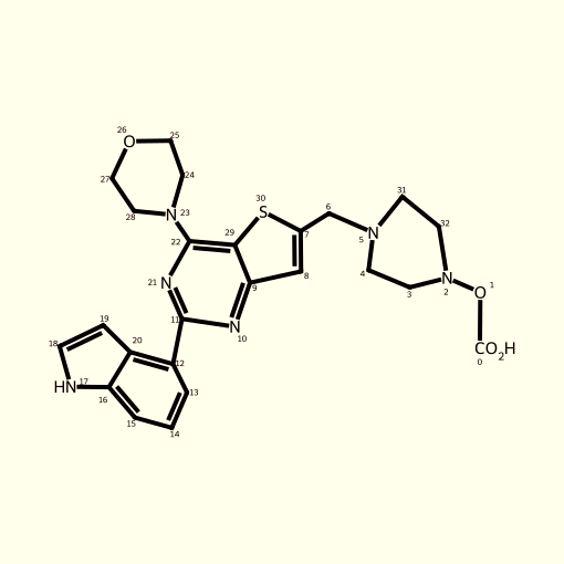 O=C(O)ON1CCN(Cc2cc3nc(-c4cccc5[nH]ccc45)nc(N4CCOCC4)c3s2)CC1